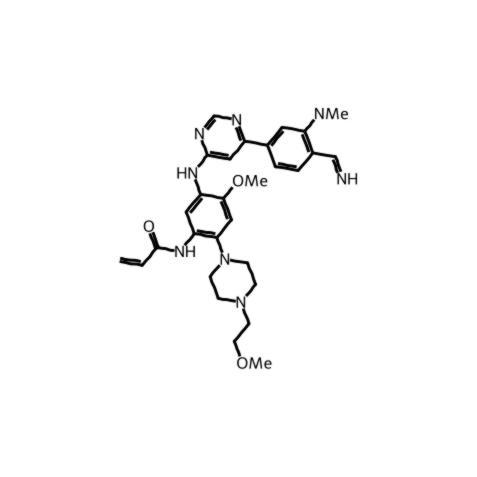 C=CC(=O)Nc1cc(Nc2cc(-c3ccc(C=N)c(NC)c3)ncn2)c(OC)cc1N1CCN(CCOC)CC1